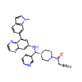 CNCC(=O)N1CCC(C(Nc2cc(-c3ccc4ccn(C)c4c3)c3nccnc3c2)c2cccnc2)CC1